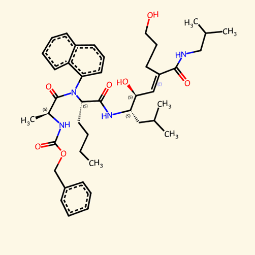 CCCC[C@@H](C(=O)N[C@@H](CC(C)C)[C@@H](O)/C=C(\CCCO)C(=O)NCC(C)C)N(C(=O)[C@H](C)NC(=O)OCc1ccccc1)c1cccc2ccccc12